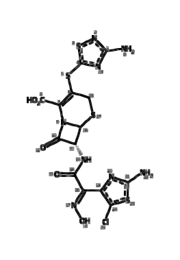 Nc1nsc(SC2=C(C(=O)O)N3C(=O)[C@@H](NC(=O)/C(=N/O)c4nc(N)sc4Cl)C3SC2)n1